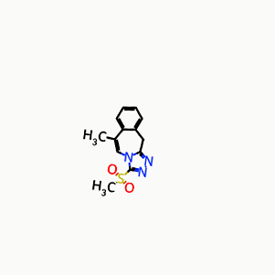 CC1=Cn2c(nnc2S(C)(=O)=O)Cc2ccccc21